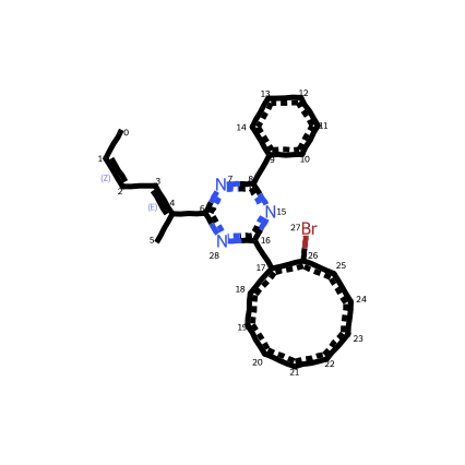 C/C=C\C=C(/C)c1nc(-c2ccccc2)nc(-c2ccccccccc2Br)n1